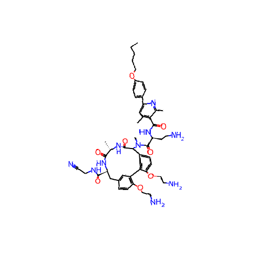 CCCCCOc1ccc(-c2cc(C)c(C(=O)N[C@@H](CCN)C(=O)N(C)[C@@H]3C(=O)N[C@@H](C)C(=O)N[C@H](C(=O)NCC#N)Cc4ccc(OCCN)c(c4)-c4cc3ccc4OCCN)c(C)n2)cc1